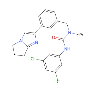 CC(C)N(Cc1cccc(-c2cn3c(n2)CCC3)c1)C(=O)Nc1cc(Cl)cc(Cl)c1